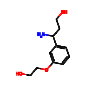 NC(CCO)c1cccc(OCCO)c1